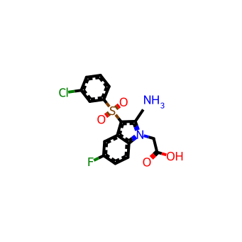 Cc1c(S(=O)(=O)c2cccc(Cl)c2)c2cc(F)ccc2n1CC(=O)O.N